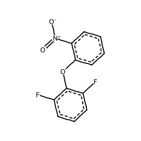 O=[N+]([O-])c1ccccc1Oc1c(F)cccc1F